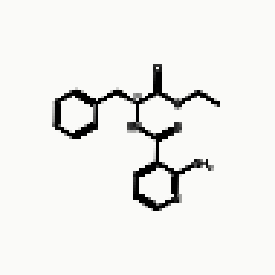 CCOC(=O)[C@H](Cc1ccccc1)NC(=O)c1cccnc1N